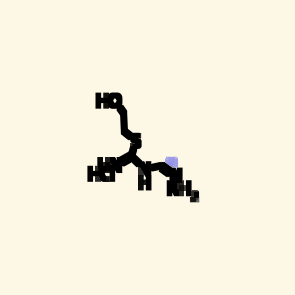 Cl.N=C(N/C=N\N)SCCO